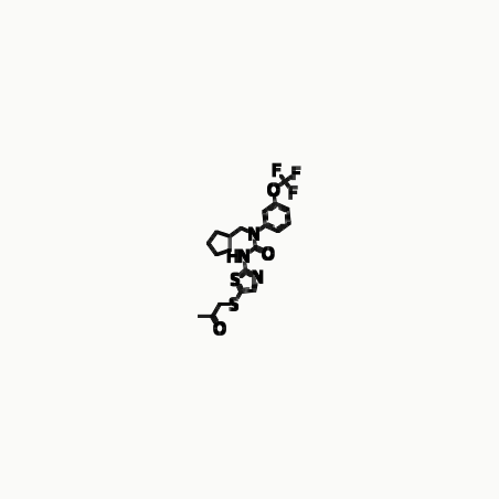 CC(=O)CSc1cnc(NC(=O)N(CC2CCCC2)c2cccc(OC(F)(F)F)c2)s1